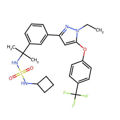 CCn1nc(-c2cccc(C(C)(C)NS(=O)(=O)NC3CCC3)c2)cc1Oc1ccc(C(F)(F)F)cc1